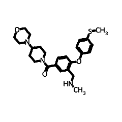 CNCc1cc(C(=O)N2CCC(N3CCOCC3)CC2)ccc1Oc1ccc(SC)cc1